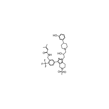 CC(C)=CC(=O)NCc1cc(-c2nn(CC(O)CN3CCC(c4cccc(O)c4)CC3)c3c2CN(S(C)(=O)=O)CC3)ccc1C(F)(F)F